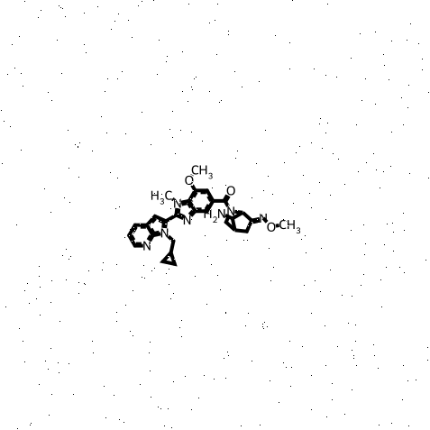 CON=C1CC2CN(C(=O)c3cc(OC)c4c(c3)nc(-c3cc5cccnc5n3CC3CC3)n4C)C1C2N